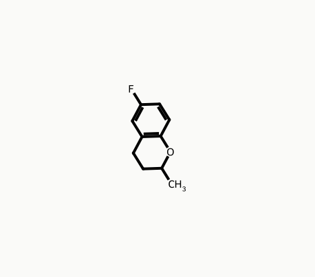 CC1CCc2cc(F)ccc2O1